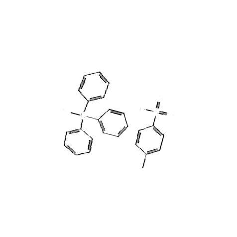 CC[N+](c1ccccc1)(c1ccccc1)c1ccccc1.Cc1ccc(S(=O)(=O)[O-])cc1